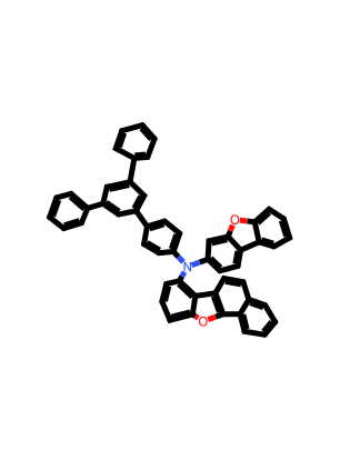 c1ccc(-c2cc(-c3ccccc3)cc(-c3ccc(N(c4ccc5c(c4)oc4ccccc45)c4cccc5oc6c7ccccc7ccc6c45)cc3)c2)cc1